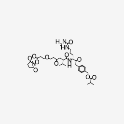 CC(C)C(=O)OCc1ccc(CC(=O)[C@@H](CCCNC(N)=O)NC(=O)[C@H](CC(=O)CCOCCC(=O)ON2C(=O)CCC2=O)C(C)C)cc1